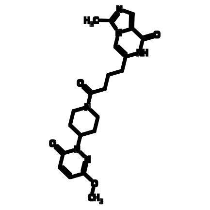 COc1ccc(=O)n(C2CCN(C(=O)CCCc3cn4c(C)ncc4c(=O)[nH]3)CC2)n1